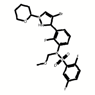 COCN(c1cccc(C2NN(C3CCCCO3)C=C2Br)c1F)S(=O)(=O)c1cc(F)ccc1F